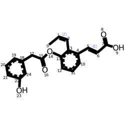 C/C=C\c1c(/C=C/C(=O)O)cccc1OC(=O)Cc1cccc(O)c1